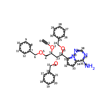 C#CO[C@H](COCc1ccccc1)[C@@H](OCc1ccccc1)[C@@H](OCc1ccccc1)c1ccc2c(N)ncnn12